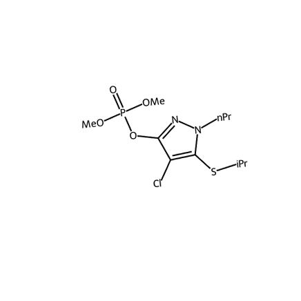 CCCn1nc(OP(=O)(OC)OC)c(Cl)c1SC(C)C